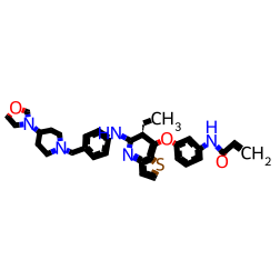 C=CC(=O)Nc1cccc(OC2=c3sccc3=NC(Nc3ccc(CN4CCC(N5CCOC5)CC4)cc3)[C@@H]2CC)c1